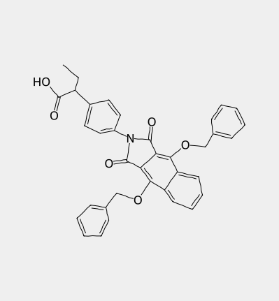 CCC(C(=O)O)c1ccc(N2C(=O)c3c(c(OCc4ccccc4)c4ccccc4c3OCc3ccccc3)C2=O)cc1